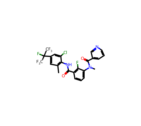 Cc1cc(C(F)(C(F)(F)F)C(F)(F)F)cc(Cl)c1NC(=O)c1cccc(N(C)C(=O)c2cccnc2)c1F